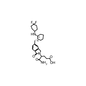 NC(=O)C(CCC(=O)O)N1Cc2cc(C[C@H]3CCCC[C@@H]3NC3CCC(F)(F)CC3)ccc2C1=O